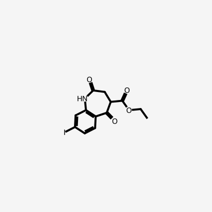 CCOC(=O)C1CC(=O)Nc2cc(I)ccc2C1=O